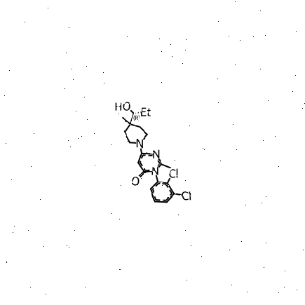 CC[C@@H](O)C1(C)CCN(c2cc(=O)n(-c3cccc(Cl)c3Cl)c(C)n2)CC1